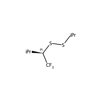 CC(C)SS[C@H](C(C)C)C(F)(F)F